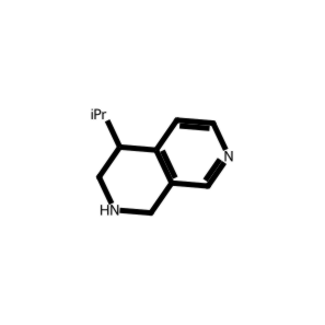 CC(C)C1CNCc2cnccc21